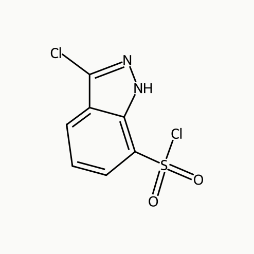 O=S(=O)(Cl)c1cccc2c(Cl)n[nH]c12